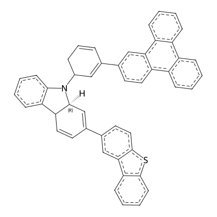 C1=CC(c2ccc3c4ccccc4c4ccccc4c3c2)=CC(N2c3ccccc3C3C=CC(c4ccc5sc6ccccc6c5c4)=C[C@@H]32)C1